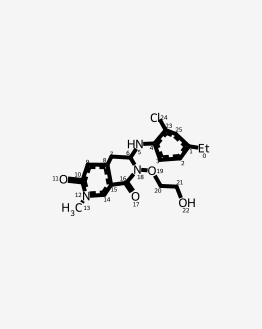 CCc1ccc(NC2Cc3cc(=O)n(C)cc3C(=O)N2OCCO)c(Cl)c1